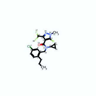 CCCc1ccc(Cl)cc1CN(C(=O)c1c(C(F)F)nn(C)c1F)C1CC1